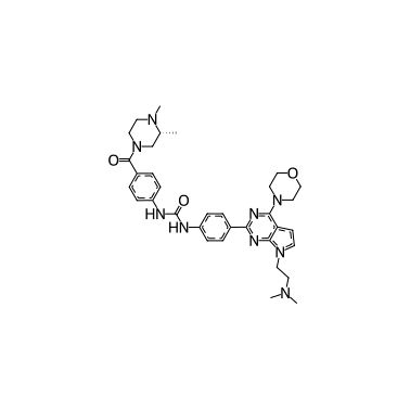 C[C@@H]1CN(C(=O)c2ccc(NC(=O)Nc3ccc(-c4nc(N5CCOCC5)c5ccn(CCN(C)C)c5n4)cc3)cc2)CCN1C